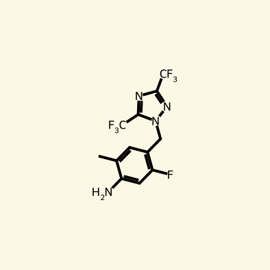 Cc1cc(Cn2nc(C(F)(F)F)nc2C(F)(F)F)c(F)cc1N